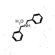 O.c1ccc(CNCc2ccccc2)cc1